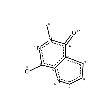 Cn1nc(Cl)c2ncccc2c1=O